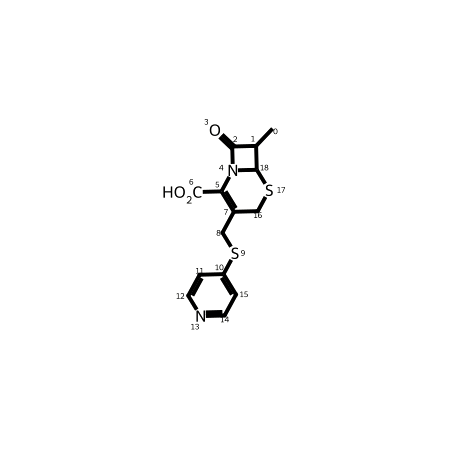 CC1C(=O)N2C(C(=O)O)=C(CSc3ccncc3)CSC12